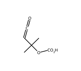 CC(C)(C=C=O)OC(=O)O